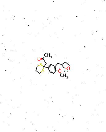 COc1ccc(C2(CC(C)=O)SCCCS2)cc1CC1CCOC1